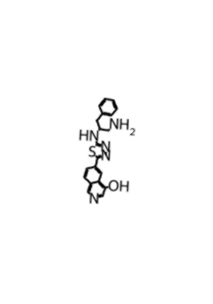 NCC(Cc1ccccc1)Nc1nnc(-c2ccc3cncc(O)c3c2)s1